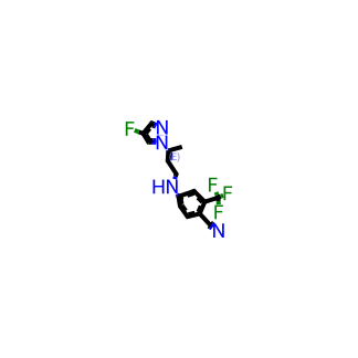 C/C(=C\CNc1ccc(C#N)c(C(F)(F)F)c1)n1cc(F)cn1